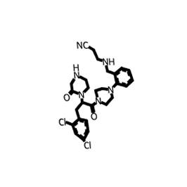 N#CCCNCc1ccccc1N1CCN(C(=O)C(Cc2ccc(Cl)cc2Cl)N2CCNCC2=O)CC1